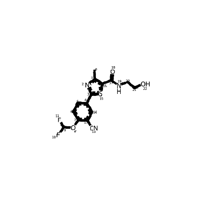 Cc1nc(-c2ccc(OC(F)F)c(C#N)c2)sc1C(=O)NCCO